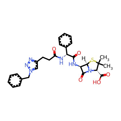 CC1(C)S[C@@H]2[C@H](NC(=O)[C@H](NC(=O)CCc3cn(Cc4ccccc4)nn3)c3ccccc3)C(=O)N2[C@H]1C(=O)O